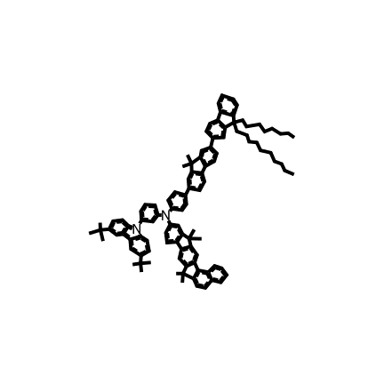 CCCCCCCCCCC1(CCCCCCCC)c2ccccc2-c2ccc(-c3ccc4c(c3)C(C)(C)c3cc(-c5ccc(N(c6cccc(-n7c8ccc(C(C)(C)C)cc8c8cc(C(C)(C)C)ccc87)c6)c6ccc7c(c6)C(C)(C)c6cc8c(cc6-7)C(C)(C)c6ccc7ccccc7c6-8)cc5)ccc3-4)cc21